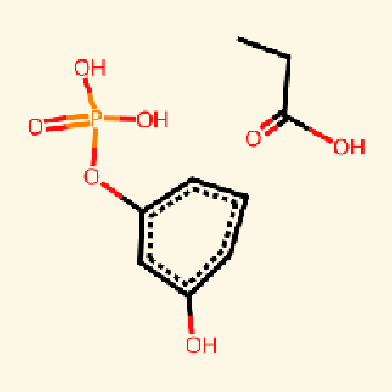 CCC(=O)O.O=P(O)(O)Oc1cccc(O)c1